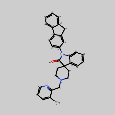 Cc1cccnc1CN1CCC2(CC1)C(=O)N(c1ccc3c(c1)Cc1ccccc1-3)c1ccccc12